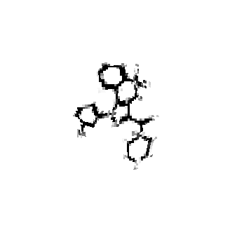 O=C(c1nn(-c2cccc(Br)c2)c2c1CS(=O)(=O)c1ccccc1-2)N1CCOCC1